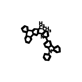 Cc1cc2c3ccccc3c3ccccc3c2cc1-c1nc(-c2ccc3c(c2)c2ccccc2n3-c2ccccc2)ccc1C